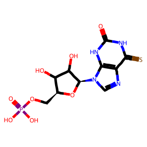 O=c1[nH]c(=S)c2ncn([C@H]3O[C@@H](COP(=O)(O)O)C(O)C3O)c2[nH]1